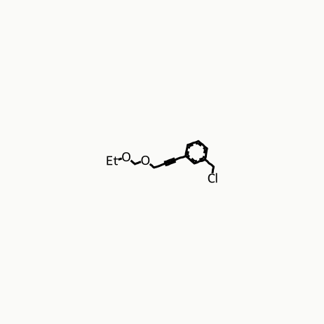 CCOCOCC#Cc1cccc(CCl)c1